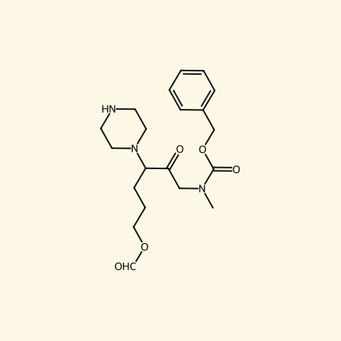 CN(CC(=O)C(CCCOC=O)N1CCNCC1)C(=O)OCc1ccccc1